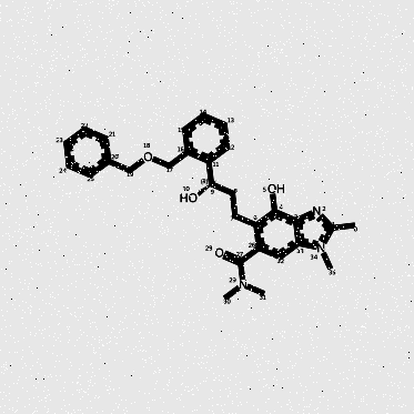 Cc1nc2c(O)c(CC[C@@H](O)c3ccccc3COCc3ccccc3)c(C(=O)N(C)C)cc2n1C